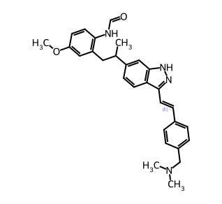 COc1ccc(NC=O)c(CC(C)c2ccc3c(/C=C/c4ccc(CN(C)C)cc4)n[nH]c3c2)c1